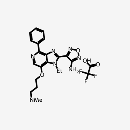 CCn1c(-c2nonc2N)nc2c(-c3ccccc3)ncc(OCCCNC)c21.O=C(O)C(F)(F)F